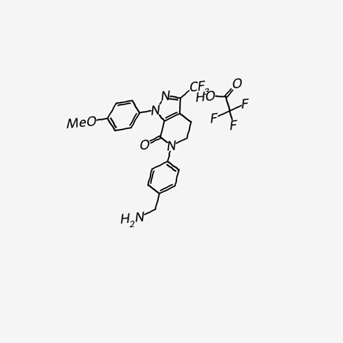 COc1ccc(-n2nc(C(F)(F)F)c3c2C(=O)N(c2ccc(CN)cc2)CC3)cc1.O=C(O)C(F)(F)F